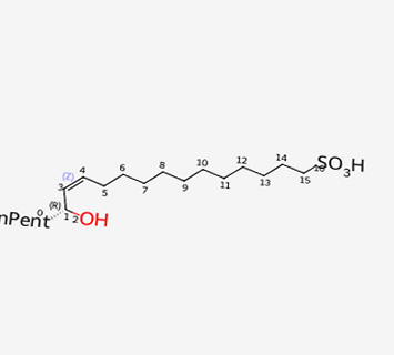 CCCCC[C@@H](O)/C=C\CCCCCCCCCCCS(=O)(=O)O